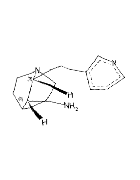 N[C@@H]1C2CCN(CC2)[C@@H]1Cc1cccnc1